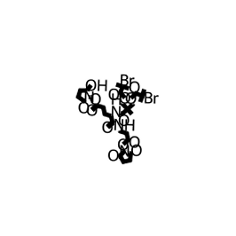 CC(C)(Br)C(=O)OCC(C)(COC(=O)C(C)(C)Br)C(=O)NC(CCC(=O)ON1C(=O)CCC1O)C(=O)NCCC(=O)ON1C(=O)CCC1=O